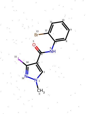 Cn1cc(C(=O)Nc2ccccc2Br)c(I)n1